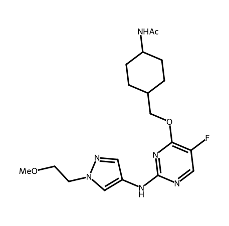 COCCn1cc(Nc2ncc(F)c(OCC3CCC(NC(C)=O)CC3)n2)cn1